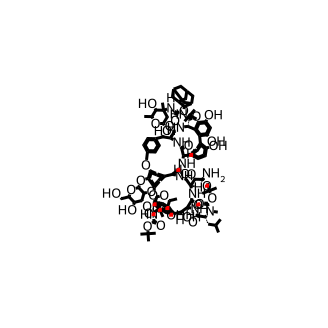 CC(C)C[C@H](C(=O)N[C@H]1C(=O)N[C@@H](CC(N)=O)C(=O)N[C@H]2C(=O)N[C@H]3C(=O)N[C@H](C(=O)N[C@H](C(=O)NC4C5CC6CC(C5)CC4C6)c4cc(O)cc(O)c4-c4cc3ccc4O)[C@H](OC3CC(C)(NC(=O)OC(C)(C)C)C(O)C(C)O3)c3ccc(cc3)Oc3cc2cc(c3OC2OC(CO)C(O)C(O)C2OC2CC(C)(NC(=O)OC(C)(C)C)C(O)C(C)O2)Oc2ccc(cc2Cl)[C@H]1O)N(C)C(=O)OC(C)(C)C